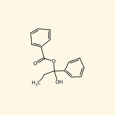 CCC(O)(OC(=O)c1ccccc1)c1ccccc1